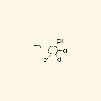 C=CCc1cc(O)c(Cl)c(Cl)c1Cl